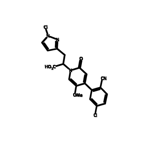 COc1cn(C(Cc2ccn(Cl)n2)C(=O)O)c(=O)cc1-c1cc(Cl)ccc1C#N